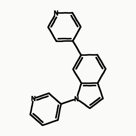 c1cncc(-n2ccc3ccc(-c4ccncc4)cc32)c1